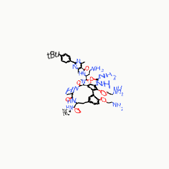 Cc1nc(-c2ccc(C(C)(C)C)cc2)nc(C)c1C(=O)NC(CCN)C(=O)N(C)C1C(=O)NC(C)C(=O)NC(C(=O)NCC#N)Cc2ccc(OCCN)c(c2)-c2cc1cc(NC(N)=O)c2OCCN